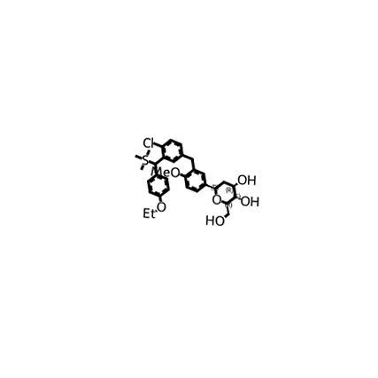 CCOc1ccc(C(c2cc(Cc3cc([C@H]4C[C@@H](O)[C@H](O)[C@@H](CO)O4)ccc3OC)ccc2Cl)S(C)(C)C)cc1